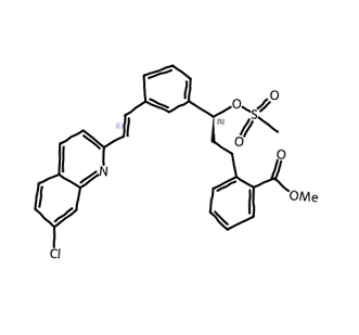 COC(=O)c1ccccc1CC[C@H](OS(C)(=O)=O)c1cccc(/C=C/c2ccc3ccc(Cl)cc3n2)c1